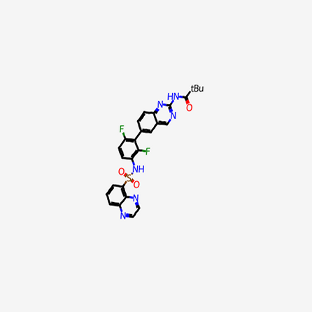 CC(C)(C)C(=O)Nc1ncc2cc(-c3c(F)ccc(NS(=O)(=O)c4cccc5nccnc45)c3F)ccc2n1